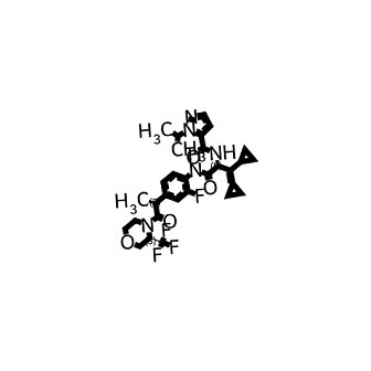 CC(C)n1nccc1C(=O)N[C@H](C(=O)Nc1ccc([C@H](C)C(=O)N2CCOC[C@H]2C(F)(F)F)cc1F)C(=C1CC1)C1CC1